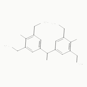 COCc1cc(C(C)c2cc(COC)c(O)c(COC)c2)cc(COC)c1O